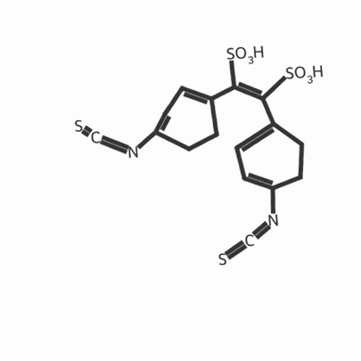 O=S(=O)(O)C(C1=CC=C(N=C=S)CC1)=C(C1=CC=C(N=C=S)CC1)S(=O)(=O)O